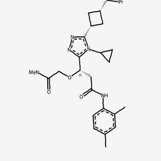 CNC(=O)CO[C@@H](CC(=O)Nc1ccc(C)cc1C)c1nnc([C@H]2C[C@@H](CC(C)C)C2)n1C1CC1